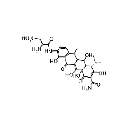 CC1c2ccc(NC(=O)[C@@H](N)CC(=O)O)c(O)c2C(=O)C2=C(O)C3(O)C(=O)C(C(N)=O)=C(O)[C@@H](N(C)C)C3C(O)C21